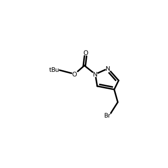 CC(C)(C)OC(=O)n1cc(CBr)cn1